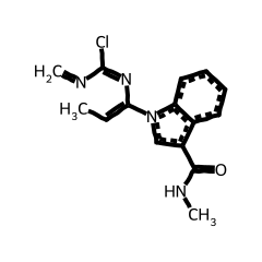 C=N/C(Cl)=N\C(=C/C)n1cc(C(=O)NC)c2ccccc21